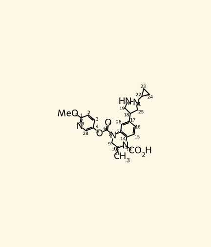 COc1ccc(OC(=O)N2C[C@H](C)N(C(=O)O)c3ccc(C4CNN(C5CC5)C4)cc32)cn1